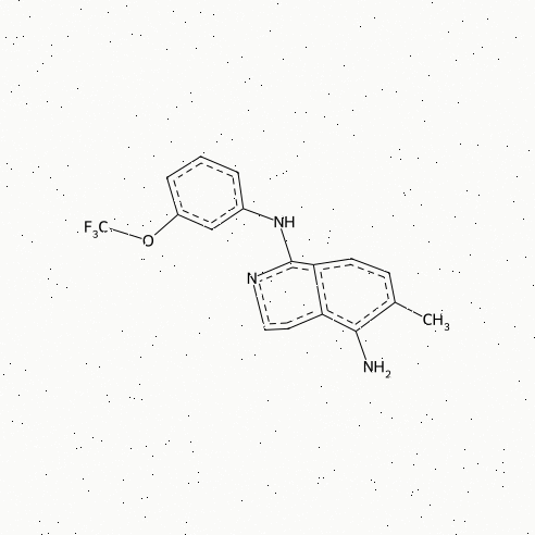 Cc1ccc2c(Nc3cccc(OC(F)(F)F)c3)nccc2c1N